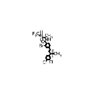 C[C@@H](NC(=O)c1ccc(/C=C/C(c2ccc(Cl)c(Cl)c2)C(C)(F)F)cc1Br)C(=O)NCC(F)(F)F